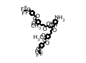 COc1cc(/C=C/C(=O)C(O)CC(O)(Cc2ccc(N)cc2)C(=O)/C=C/c2ccc(OC(=O)c3ccc(OC(F)(F)C(F)F)cc3)c(OC)c2)ccc1OC(=O)c1ccc(OC(F)(F)C(F)F)cc1